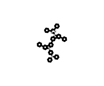 c1ccc(-c2ccc3c(c2)c2cc(-c4ccc5c(c4)c4cc(-c6ccccc6)ccc4n5-c4nc(-c5ccccc5)cc(-c5ccccc5)n4)ccc2n3-c2ccc(N(c3ccccc3)c3ccccc3)cc2)cc1